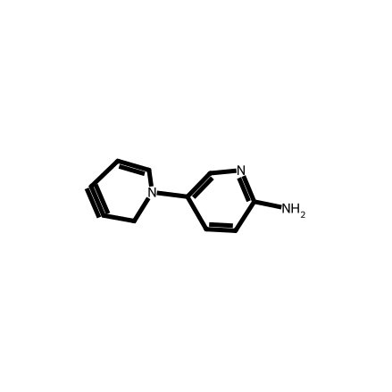 Nc1ccc(N2C=CC#CC2)cn1